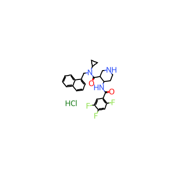 Cl.O=C(NC1CCNCC1C(=O)N(Cc1cccc2ccccc12)C1CC1)c1cc(F)c(F)cc1F